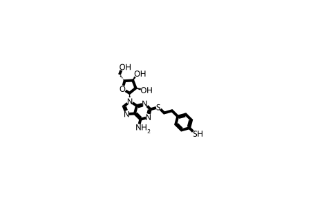 Nc1nc(SCCc2ccc(S)cc2)nc2c1ncn2[C@@H]1O[C@H](CO)[C@@H](O)[C@H]1O